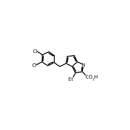 CCC1=C2C(Cc3ccc(Cl)c(Cl)c3)=CC=C2N=C1C(=O)O